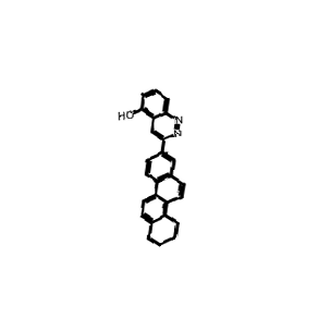 Oc1cccc2nnc(-c3ccc4c(ccc5c6c(ccc54)CCCC6)c3)cc12